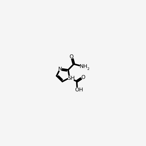 NC(=O)C1=NC=C[SH]1C(=O)O